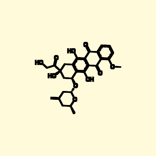 C=C1C[C@H](O[C@H]2C[C@](O)(C(=O)CO)Cc3c(O)c4c(c(O)c32)C(=O)c2c(OC)cccc2C4=O)O[C@@H](C)C1